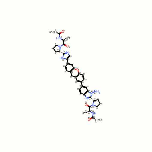 COC(=O)N[C@H](C(=O)N1CCC[C@H]1c1ncc(-c2ccc3c(c2)Oc2ccc(-c4ccc5nc([C@@H]6CCCN6C(=O)[C@@H](NC(=O)OC)C(C)C)n(N)c5c4)cc2C3)[nH]1)C(C)C